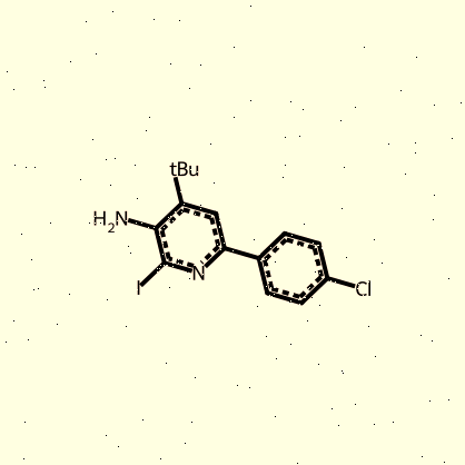 CC(C)(C)c1cc(-c2ccc(Cl)cc2)nc(I)c1N